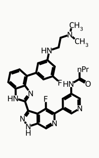 CCCC(=O)Nc1cncc(-c2ncc3[nH]nc(-c4nc5c(-c6cc(F)cc(NCCN(C)C)c6)cccc5[nH]4)c3c2F)c1